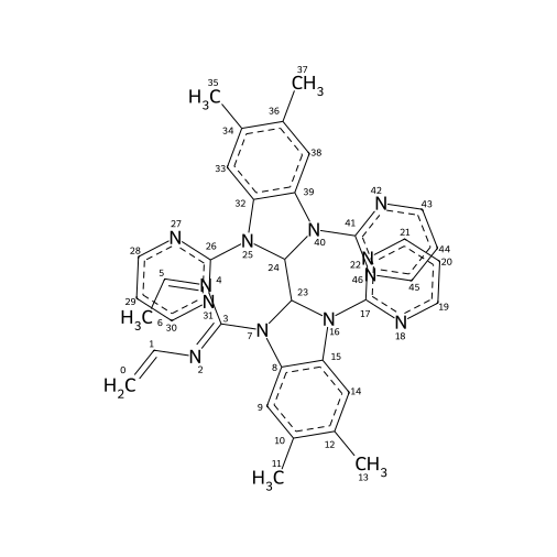 C=C/N=C(\N=C/C)N1c2cc(C)c(C)cc2N(c2ncccn2)C1C1N(c2ncccn2)c2cc(C)c(C)cc2N1c1ncccn1